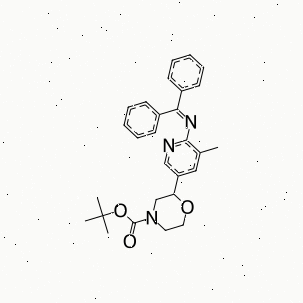 Cc1cc(C2CN(C(=O)OC(C)(C)C)CCO2)cnc1N=C(c1ccccc1)c1ccccc1